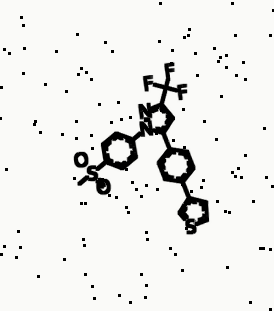 CS(=O)(=O)c1ccc(-n2nc(C(F)(F)F)cc2-c2ccc(-c3ccsc3)cc2)cc1